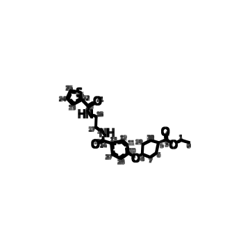 CCOC(=O)[C@H]1CC[C@@H](Oc2ccc(C(=O)NCCNC(=O)c3cccs3)cc2)CC1